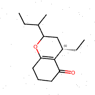 CCC(C)C1C[C@H](CC)C2=C(CCCC2=O)O1